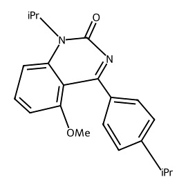 COc1cccc2c1c(-c1ccc(C(C)C)cc1)nc(=O)n2C(C)C